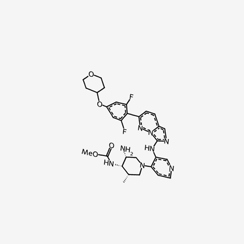 COC(=O)N[C@@H]1[C@H](N)CN(c2ccncc2Nc2ncc3ccc(-c4c(F)cc(OC5CCOCC5)cc4F)nn23)C[C@@H]1C